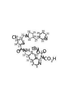 CC(C)(C)OC(=O)N(C(=O)O)c1nccc2cc(CNC(=O)c3cc(Cl)c(CN4CCC(Cc5cccnc5)C4)s3)ccc12